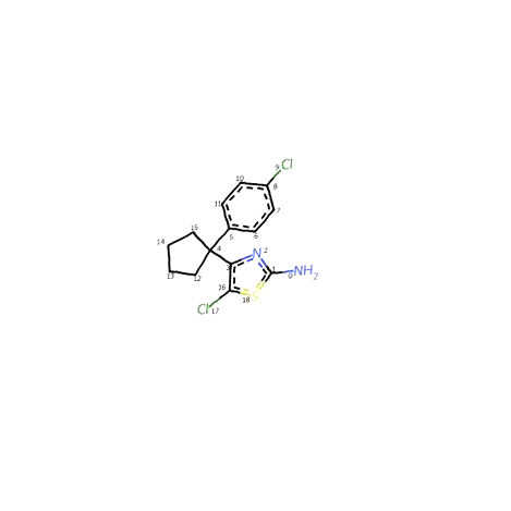 Nc1nc(C2(c3ccc(Cl)cc3)CCCC2)c(Cl)s1